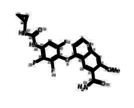 COc1cc2nccc(Oc3c(F)cc(NC(=O)NC4CC4)c(F)c3F)c2cc1C(N)=O